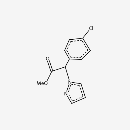 COC(=O)C(c1ccc(Cl)cc1)n1cccn1